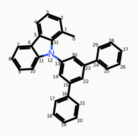 Cc1cccc2c3ccccc3n(-c3cc(-c4ccccc4)cc(-c4ccccc4)c3)c12